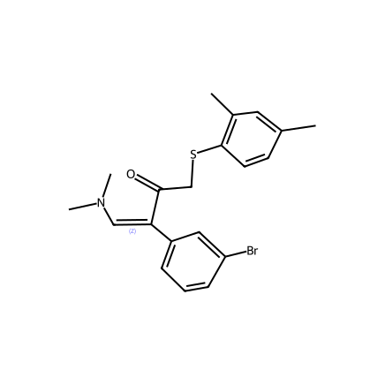 Cc1ccc(SCC(=O)/C(=C\N(C)C)c2cccc(Br)c2)c(C)c1